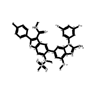 CNC(=O)c1c(-c2ccc(C)cc2)oc2cc(N(C)S(C)(=O)=O)c(-c3cc(OC)c4nc(N)n(-c5cc(F)cc(F)c5)c4c3)cc12